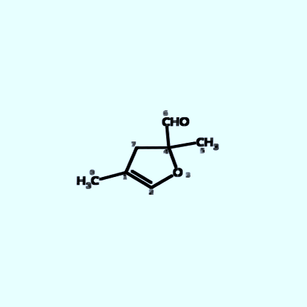 CC1=COC(C)(C=O)C1